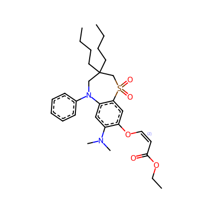 CCCCC1(CCCC)CN(c2ccccc2)c2cc(N(C)C)c(O/C=C\C(=O)OCC)cc2S(=O)(=O)C1